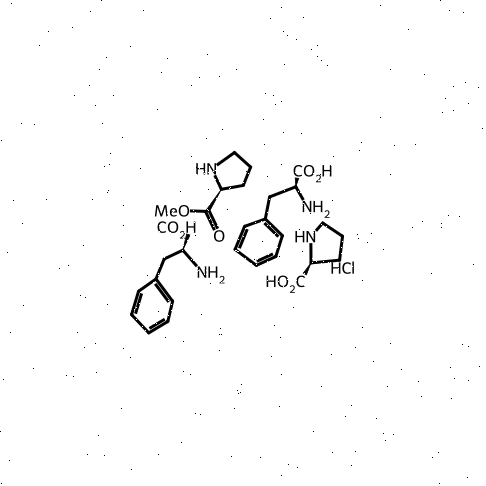 COC(=O)[C@@H]1CCCN1.Cl.N[C@@H](Cc1ccccc1)C(=O)O.N[C@@H](Cc1ccccc1)C(=O)O.O=C(O)[C@@H]1CCCN1